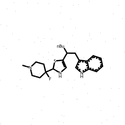 CCCCC(Cc1c[nH]c2ccccc12)C1=CNC(C2(F)CCN(C)CC2)S1